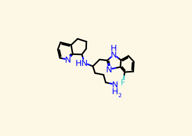 NCCCC(Cc1nc2c(F)cccc2[nH]1)NC1CCCc2cccnc21